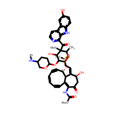 COC(=O)NC1=C2C#C/C=C\C#C[C@H](OC3OC(C)C(SC)(C(=O)c4nccc5c4[nH]c4ccc(O)cc45)C(O)C3OC3CCC(NC(C)C)CO3)C2/C(=C\CS(C)=S)[C@@H](O)CC1=O